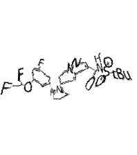 CC(C)(C)S(=O)(=O)NC(=O)c1cnn2ccc(N3CCC[C@@H]3c3cc(F)cc(OC(F)F)c3)cc12